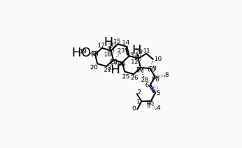 CC(C)[C@@H](C)/C=C/[C@@H](C)[C@H]1CC[C@H]2C3=CC[C@H]4C[C@@H](O)CC[C@]4(C)[C@H]3CC[C@]12C